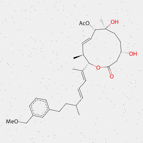 COCc1cccc(CCC(C)/C=C/C=C(\C)[C@H]2OC(=O)C[C@@H](O)CC[C@](C)(O)[C@@H](OC(C)=O)/C=C/[C@@H]2C)c1